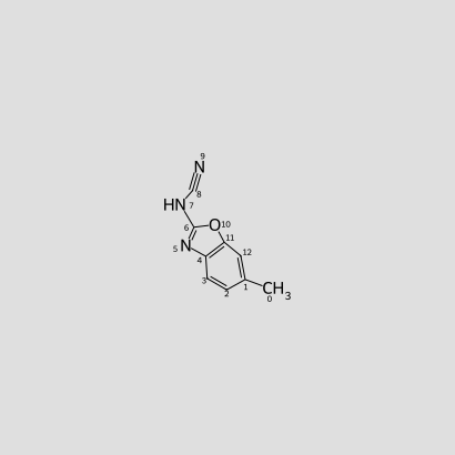 Cc1ccc2nc(NC#N)oc2c1